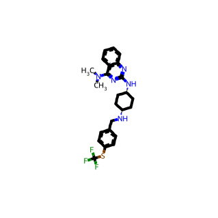 CN(C)c1nc(N[C@H]2CC[C@@H](NCc3ccc(SC(F)(F)F)cc3)CC2)nc2ccccc12